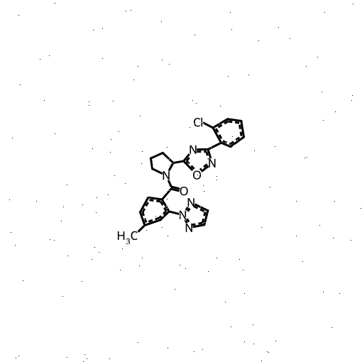 Cc1ccc(C(=O)N2CCCC2c2nc(-c3ccccc3Cl)no2)c(-n2nccn2)c1